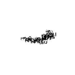 CCCC[C@H](NC(=O)N1CCC(NC(=O)OC(C)(C)C)CC1)C(=O)NCCC(=O)N[C@@H](CC1CCCCC1)[C@@H](O)[C@@H](O)C1CC1